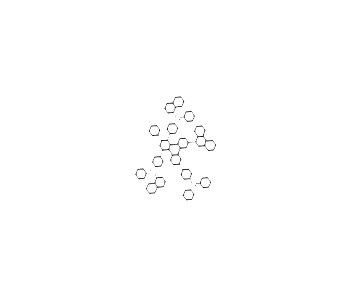 c1ccc(-c2cc(-c3ccc(N(c4ccccc4)c4cccc5ccccc45)cc3)c3c4ccc(-c5ccc(N(c6ccccc6)c6ccccc6)cc5)cc4c4cc(-c5cc6ccccc6c6ccccc56)ccc4c3c2-c2ccc(N(c3ccccc3)c3cccc4ccccc34)cc2)cc1